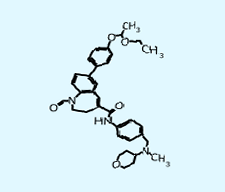 CCOC(C)Oc1ccc(-c2ccc3c(c2)C=C(C(=O)Nc2ccc(CN(C)C4CCOCC4)cc2)CCN3C=O)cc1